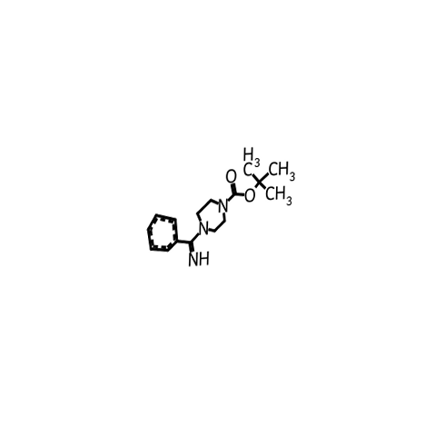 CC(C)(C)OC(=O)N1CCN(C(=N)c2ccccc2)CC1